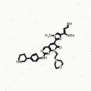 CN/C(=C\C=N)c1cn(C)c(-c2cc3cnc(Nc4ccc(C5CCCNC5)cc4)nc3n(CCN3CCOCC3)c2=O)n1